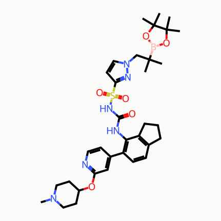 CN1CCC(Oc2cc(-c3ccc4c(c3NC(=O)NS(=O)(=O)c3ccn(CC(C)(C)B5OC(C)(C)C(C)(C)O5)n3)CCC4)ccn2)CC1